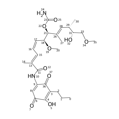 CCCC1=C(O)C(=O)C=C(NC(=O)/C(C)=C/C=C\[C@H](OC)[C@@H](OC(N)=O)/C(C)=C/[C@H](C)[C@@H](O)COC)C1=O